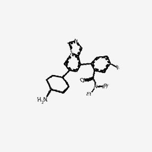 CCN(C(=O)c1cc(F)ccc1-c1cc(C2CCC(N)CC2)cn2cncc12)C(C)C